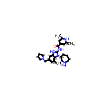 CC1=CC(C(=O)NC2Nc3cc(CN4CCCC4)cc(C)c3N2[C@@H]2CCCCNC2)=CC(C)N1